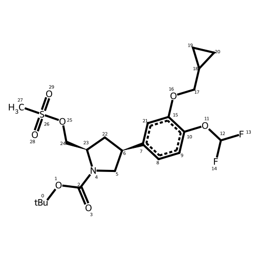 CC(C)(C)OC(=O)N1C[C@H](c2ccc(OC(F)F)c(OCC3CC3)c2)C[C@@H]1COS(C)(=O)=O